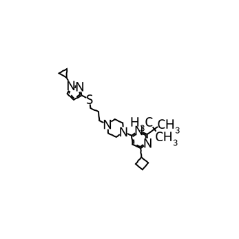 CC(C)(C)c1nc(C2CCC2)cc(N2CCN(CCCSc3ccn(C4CC4)n3)CC2)n1